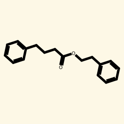 O=C(CCCc1ccccc1)OCCc1ccccc1